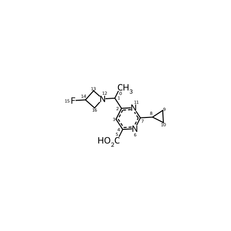 CC(c1cc(C(=O)O)nc(C2CC2)n1)N1CC(F)C1